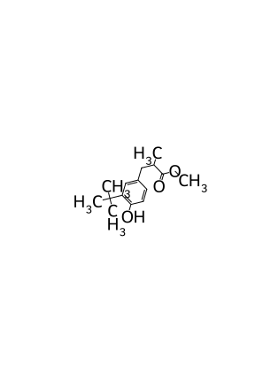 COC(=O)C(C)Cc1ccc(O)c(C(C)(C)C)c1